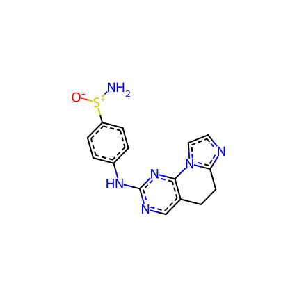 N[S+]([O-])c1ccc(Nc2ncc3c(n2)-n2ccnc2CC3)cc1